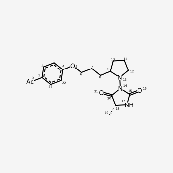 CC(=O)c1ccc(OCCCC2CCCN2N2C(=O)N[C@H](C)C2=O)cc1